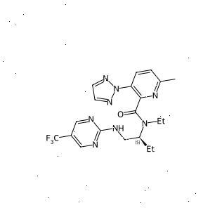 CC[C@@H](CNc1ncc(C(F)(F)F)cn1)N(CC)C(=O)c1nc(C)ccc1-n1nccn1